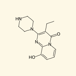 CCc1c(N2CCNCC2)nc2c(O)cccn2c1=O